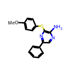 COc1ccc(Sc2nc(-c3ccccc3)cnc2N)cc1